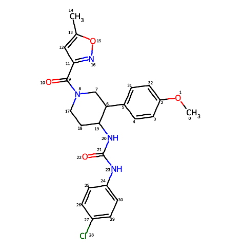 COc1ccc(C2CN(C(=O)c3cc(C)on3)CCC2NC(=O)Nc2ccc(Cl)cc2)cc1